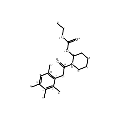 CCOC(=O)OC1CCCCN1C(=O)Cc1c(C)cc(C)c(C)c1C